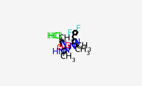 C[C@@H]1CC(=O)N(C[C@H]2CN[C@H](C)CN2CC(=O)N2CC(C)(C)c3ncc(Cc4ccc(F)cc4F)cc32)C1.Cl.Cl